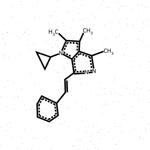 Cc1nnc(C=Cc2ccccc2)c2c1c(C)c(C)n2C1CC1